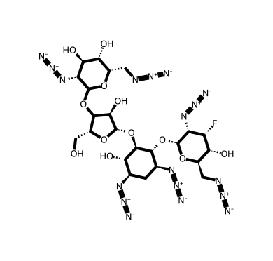 [N-]=[N+]=NC[C@@H]1OC(OC2[C@@H](O)[C@H](O[C@@H]3[C@@H](O)[C@H](N=[N+]=[N-])C[C@H](N=[N+]=[N-])[C@H]3O[C@H]3O[C@H](CN=[N+]=[N-])[C@@H](O)[C@@H](F)[C@H]3N=[N+]=[N-])O[C@@H]2CO)[C@H](N=[N+]=[N-])[C@@H](O)[C@@H]1O